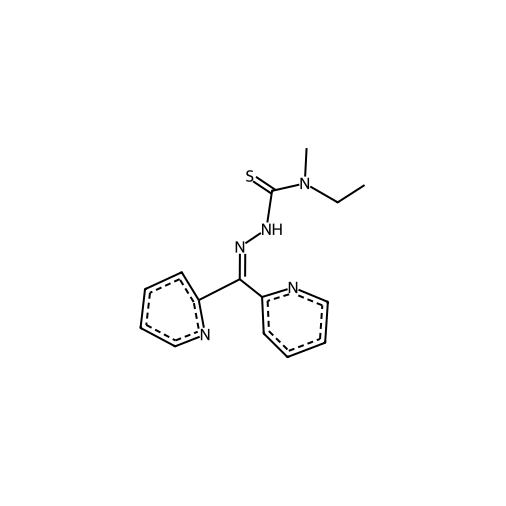 CCN(C)C(=S)NN=C(c1ccccn1)c1ccccn1